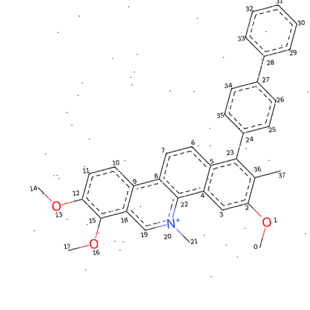 COc1cc2c(ccc3c4ccc(OC)c(OC)c4c[n+](C)c23)c(-c2ccc(-c3ccccc3)cc2)c1C